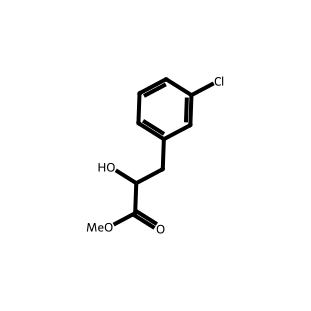 COC(=O)C(O)Cc1cccc(Cl)c1